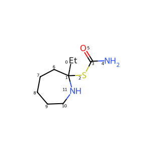 CCC1(SC(N)=O)CCCCCN1